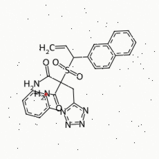 C=CC(c1ccc2ccccc2c1)S(=O)(=O)C(Cc1nnnn1-c1ccccc1)(C(N)=O)C(N)=O